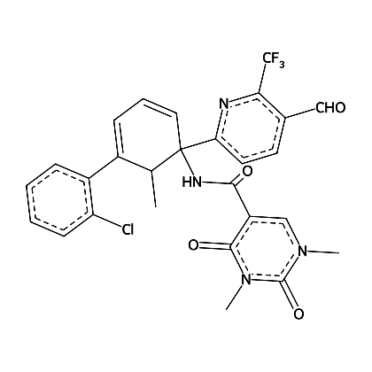 CC1C(c2ccccc2Cl)=CC=CC1(NC(=O)c1cn(C)c(=O)n(C)c1=O)c1ccc(C=O)c(C(F)(F)F)n1